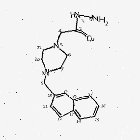 NNC(=O)CN1CCN(Cc2ccc3ccccc3c2)CC1